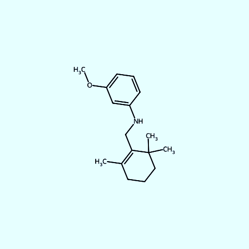 COc1cccc(NCC2=C(C)CCCC2(C)C)c1